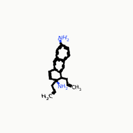 C=CCC1c2cc3ccc(N)cc3cc2C=CC1(N)CC=C